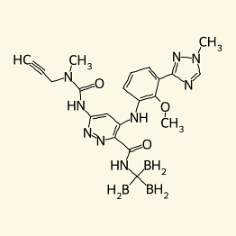 BC(B)(B)NC(=O)c1nnc(NC(=O)N(C)CC#C)cc1Nc1cccc(-c2ncn(C)n2)c1OC